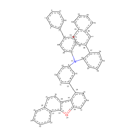 c1ccc(-c2ccc(N(c3cccc(-c4cccc5oc6c7ccccc7ccc6c45)c3)c3ccccc3-c3ccc4ccccc4c3)cc2)cc1